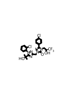 CC(C)(O)c1nc(Cn2nc(-c3ccc(Cl)cc3)n(C[C@H](O)C(F)(F)F)c2=O)nn1-c1ccccc1Cl